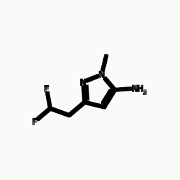 Cn1nc(CC(F)F)cc1N